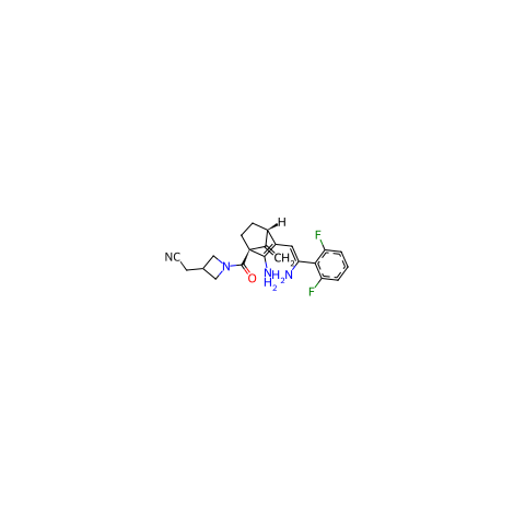 C=C1[C@@H]2CC[C@@]1(C(=O)N1CC(CC#N)C1)C(N)=C2/C=C(\N)c1c(F)cccc1F